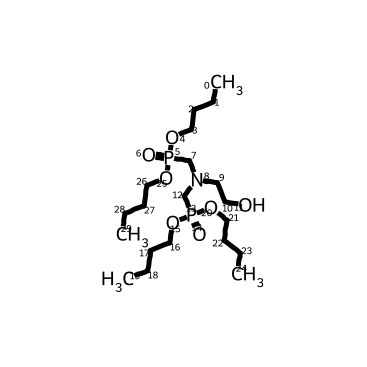 CCCCOP(=O)(CN(CCO)CP(=O)(OCCCC)OCCCC)OCCCC